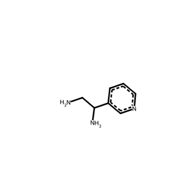 NCC(N)c1cccnc1